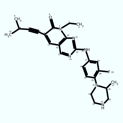 CCn1c(=O)c(C#CC(C)C)cc2cnc(Nc3ccc(N4CCNCC4C)c(F)c3)nc21